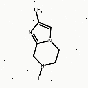 FC(F)(F)c1cn2c(n1)CN(I)CC2